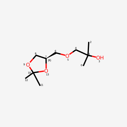 CC(C)(O)COC[C@@H]1COC(C)(C)O1